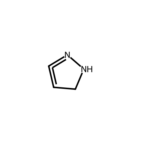 C1=CCNN=1